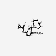 O=C(O)c1ccc(NC(=O)C2CC2)nc1N1CCCCCC1